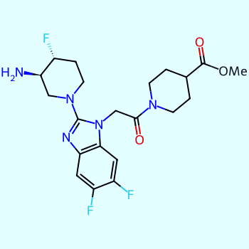 COC(=O)C1CCN(C(=O)Cn2c(N3CC[C@@H](F)[C@H](N)C3)nc3cc(F)c(F)cc32)CC1